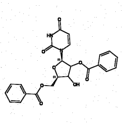 O=C(OC[C@H]1O[C@@H](n2ccc(=O)[nH]c2=O)C(OC(=O)c2ccccc2)C1O)c1ccccc1